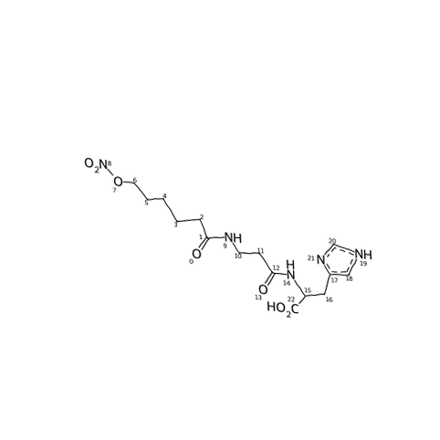 O=C(CCCCCO[N+](=O)[O-])NCCC(=O)NC(Cc1c[nH]cn1)C(=O)O